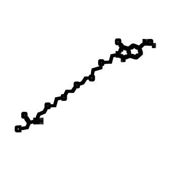 O=C(CCl)NCCOCCOCCOCCOCCOCCn1sc2ccc([N+](=O)[O-])cc2c1=O